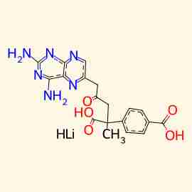 CC(CC(=O)Cc1cnc2nc(N)nc(N)c2n1)(C(=O)O)c1ccc(C(=O)O)cc1.[LiH]